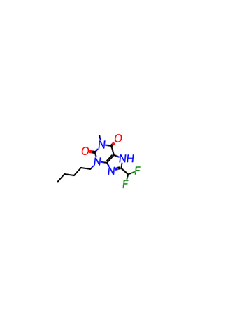 CCCCCn1c(=O)n(C)c(=O)c2[nH]c(C(F)F)nc21